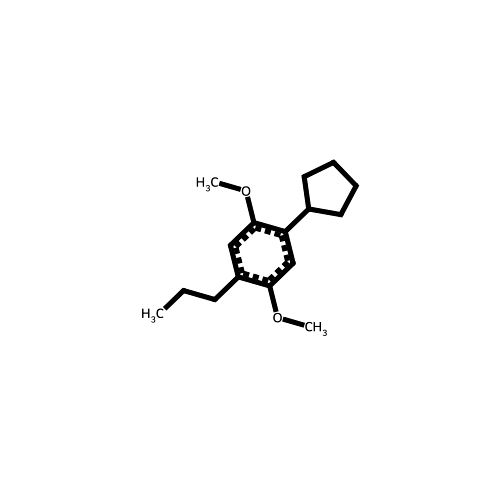 CCCc1cc(OC)c(C2CCCC2)cc1OC